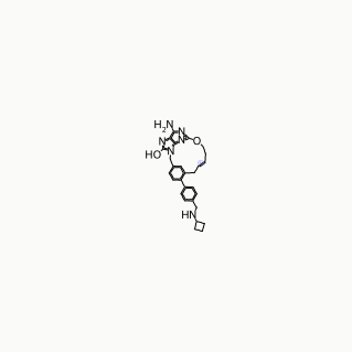 Nc1nc2nc3c1nc(O)n3Cc1ccc(-c3ccc(CNC4CCC4)cc3)c(c1)C/C=C/CCO2